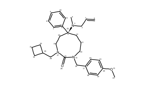 C=CCN(C)[C@@]1(c2ccccc2)CCCN(Cc2ccc(OC)cc2)C(=O)N(CC2CCC2)CC1